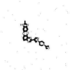 Cc1nc2ccc(Oc3ccc4ncc(-c5cnn(C6CCN(C7COC7)CC6)c5)nc4c3Cl)cc2[nH]1